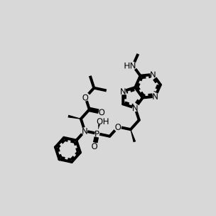 CNc1ncnc2c1ncn2C[C@@H](C)OC[P@](=O)(O)N(c1ccccc1)[C@@H](C)C(=O)OC(C)C